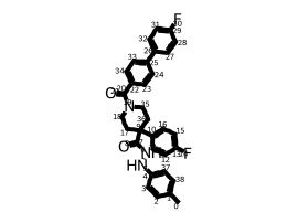 Cc1ccc(NNC(=O)C2(c3ccc(F)cc3)CCN(C(=O)c3ccc(-c4ccc(F)cc4)cc3)CC2)cc1